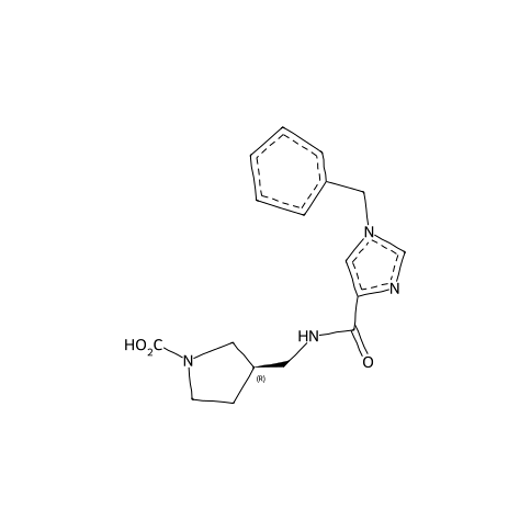 O=C(NC[C@H]1CCN(C(=O)O)C1)c1cn(Cc2ccccc2)cn1